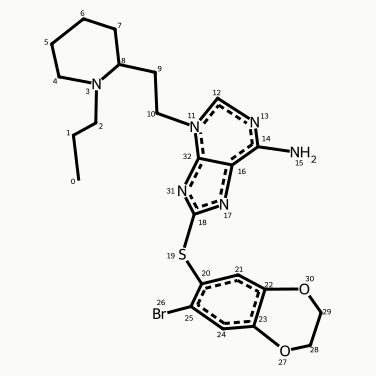 CCCN1CCCCC1CCn1cnc(N)c2nc(Sc3cc4c(cc3Br)OCCO4)nc1-2